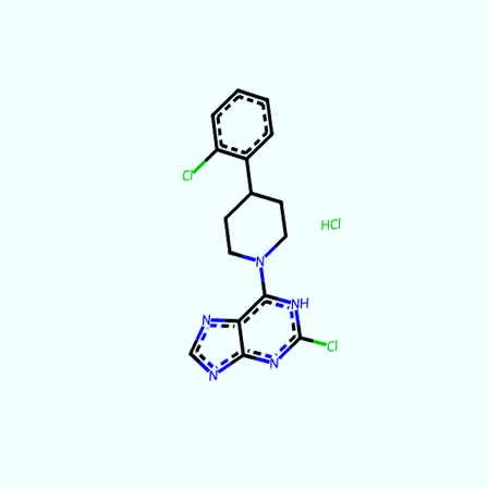 Cl.Clc1nc2ncnc-2c(N2CCC(c3ccccc3Cl)CC2)[nH]1